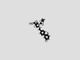 CC(C)(C)OC(=O)N1C(=O)[C@](C)(CO)C[C@H]1CCc1ccc(-c2cc(Cl)ccc2F)cc1